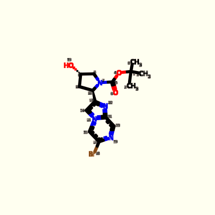 CC(C)(C)OC(=O)N1C[C@@H](O)C[C@@H]1c1cn2cc(Br)ncc2n1